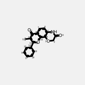 O=C1COc2c(ccc3c(=O)c(I)c(-c4ccccc4)oc23)N1